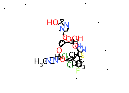 Cc1c(Cl)c2c(Cl)c(C)c1-c1c(-c3ccc(F)cc3)sc3ncnc(c13)O[C@@H](C(=O)O)Cc1cc(ccc1OCc1ccnc(C3(CO)CC3)n1)OC[C@@H](CN1CCN(C)CC1)O2